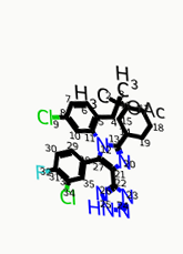 CC(=O)OC(C)(C)Cc1ccc(Cl)cc1-n1c(C2CCCCC2)nc(-c2nn[nH]n2)c1-c1ccc(F)c(Cl)c1